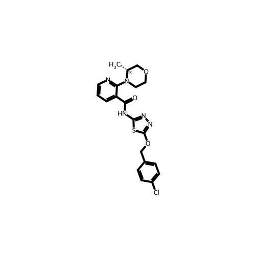 C[C@@H]1COCCN1c1ncccc1C(=O)Nc1nnc(OCc2ccc(Cl)cc2)s1